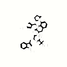 CC(C)n1cc(C[C@@H](NC(=O)C(C)(C)N)C(=O)NC2Cc3cccc(N4CCCC4=O)c3N(Cc3ccsc3)C2=O)c2ccccc21.Cl